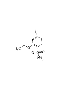 CCOc1cc(F)ccc1S(N)(=O)=O